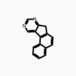 c1ccc2c3c(ccc2c1)Cc1ncncc1-3